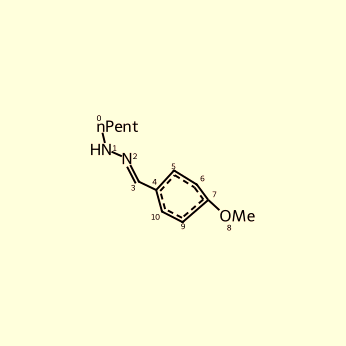 CCCCCNN=Cc1ccc(OC)cc1